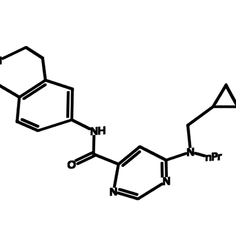 CCCN(CC1CC1)c1cc(C(=O)Nc2ccc3c(c2)CCNC3)ncn1